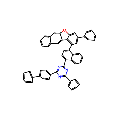 c1ccc(-c2ccc(-c3nc(-c4ccccc4)nc(-c4ccc(-c5cc(-c6ccccc6)cc6oc7cc8ccccc8cc7c56)c5ccccc45)n3)cc2)cc1